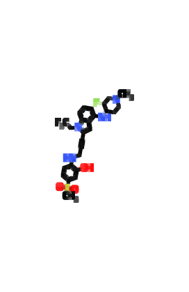 CN1CC[C@H](Nc2cccc3c2cc(C#CCNc2ccc(S(C)(=O)=O)cc2O)n3CC(F)(F)F)[C@H](F)C1